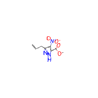 C=CCc1n[nH]c(C(=O)OC)c1[N+](=O)[O-]